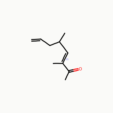 C=CCC(C)/C=C(\C)C(C)=O